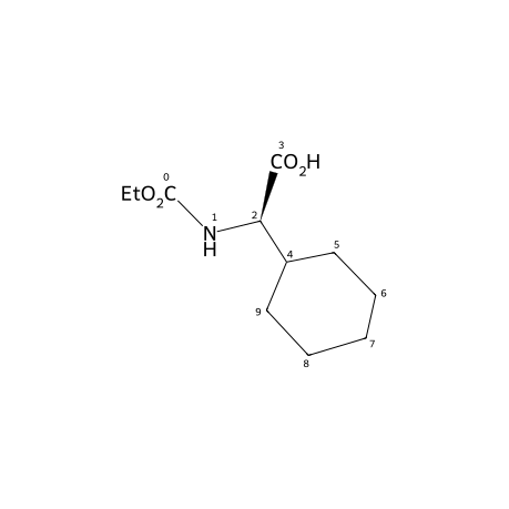 CCOC(=O)N[C@@H](C(=O)O)C1CCCCC1